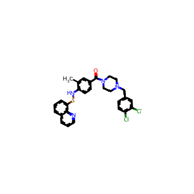 Cc1cc(C(=O)N2CCN(Cc3ccc(Cl)c(Cl)c3)CC2)ccc1NSc1cccc2cccnc12